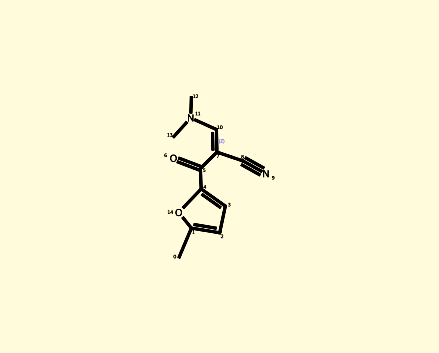 Cc1ccc(C(=O)/C(C#N)=C\N(C)C)o1